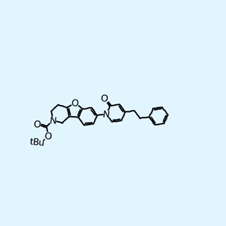 CC(C)(C)OC(=O)N1CCc2oc3cc(-n4ccc(CCc5ccccc5)cc4=O)ccc3c2C1